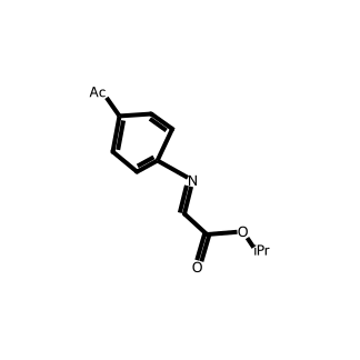 CC(=O)c1ccc(N=CC(=O)OC(C)C)cc1